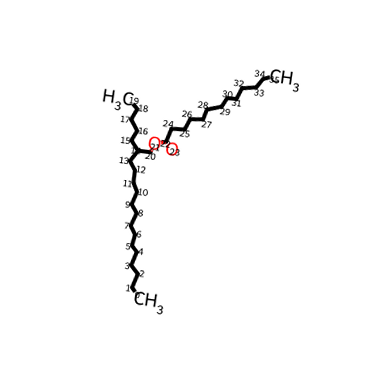 CCCCCCCCCCCCCCC(CCCCC)COC(=O)CCCCCCCCCCCC